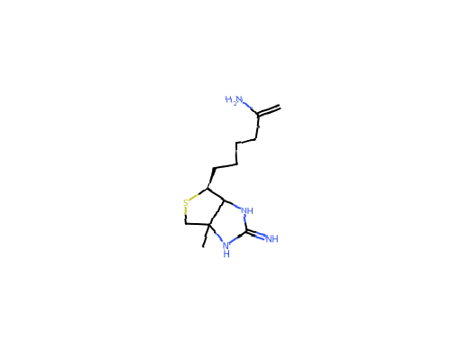 C=C(N)CCCC[C@@H]1SCC2(C)NC(=N)NC12